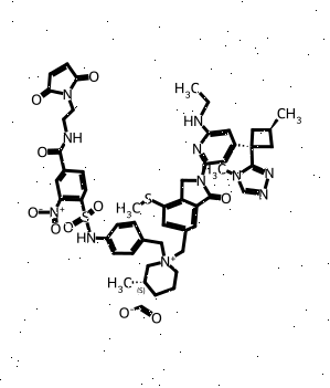 CCNc1cc([C@]2(c3nncn3C)C[C@@H](C)C2)cc(N2Cc3c(SC)cc(C[N+]4(Cc5ccc(NS(=O)(=O)c6ccc(C(=O)NCCN7C(=O)C=CC7=O)cc6[N+](=O)[O-])cc5)CCC[C@H](C)C4)cc3C2=O)n1.O=C[O-]